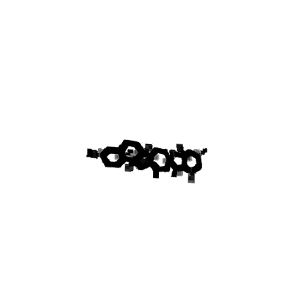 CC1=C2C[C@H]3[C@@H](CCC4=C[C@@H](O)CC[C@@]43C)[C@@H]2CC[C@@]2(C1)O[C@@H]1C[C@H](C)CNC1[C@H]2C